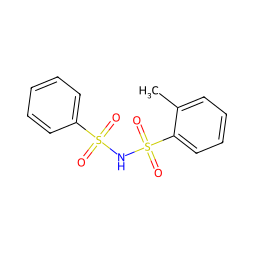 Cc1ccccc1S(=O)(=O)NS(=O)(=O)c1ccccc1